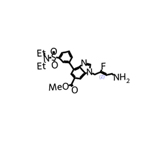 CCN(CC)S(=O)(=O)c1cccc(-c2cc(C(=O)OC)cc3c2ncn3C/C(F)=C/CN)c1